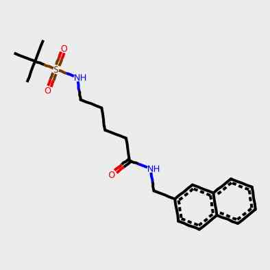 CC(C)(C)S(=O)(=O)NCCCCC(=O)NCc1ccc2ccccc2c1